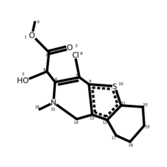 COC(=O)C(O)C1=C(Cl)c2sc3c(c2CN1C)CCCC3